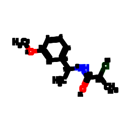 COc1cccc(C(C)NC(=O)C(C)Cl)c1